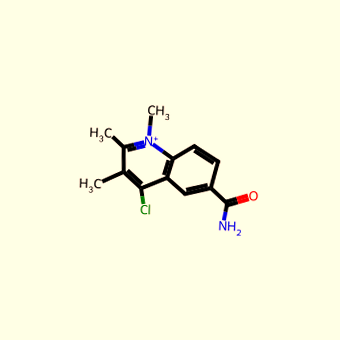 Cc1c(Cl)c2cc(C(N)=O)ccc2[n+](C)c1C